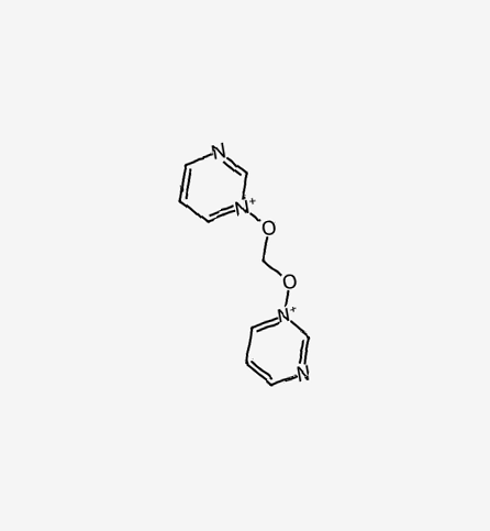 c1cnc[n+](OCO[n+]2cccnc2)c1